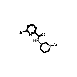 CC(=O)N1CCC[C@@H](NC(=O)c2cccc(Br)n2)C1